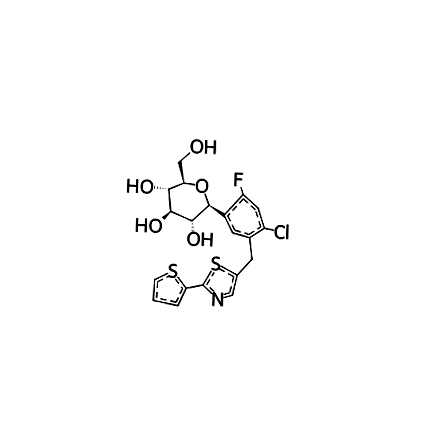 OC[C@H]1O[C@@H](c2cc(Cc3cnc(-c4cccs4)s3)c(Cl)cc2F)[C@H](O)[C@@H](O)[C@@H]1O